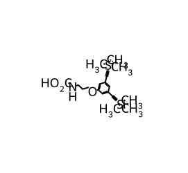 C[Si](C)(C)C#Cc1cc(C#C[Si](C)(C)C)cc(OCCCNC(=O)O)c1